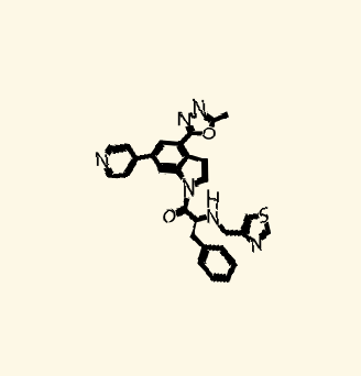 Cc1nnc(-c2cc(-c3ccncc3)cc3c2CCN3C(=O)[C@H](Cc2ccccc2)NCc2cscn2)o1